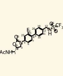 CC(=O)NC[C@H]1CN(c2ccc(-c3ccc(CNS(=O)(=O)C(F)(F)F)cc3)c(F)c2)C(=O)O1